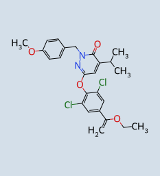 C=C(OCC)c1cc(Cl)c(Oc2cc(C(C)C)c(=O)n(Cc3ccc(OC)cc3)n2)c(Cl)c1